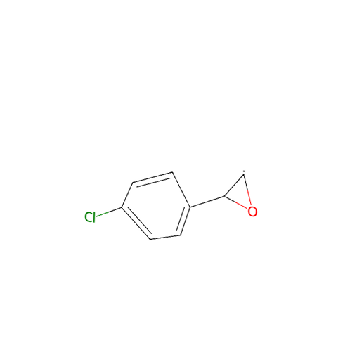 Clc1ccc(C2[CH]O2)cc1